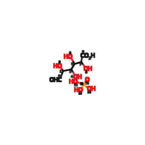 O=CC(O)C(O)C(O)C(O)C(=O)O.O=P(O)(O)O